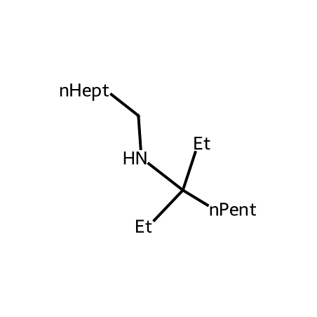 CCCCCCCCNC(CC)(CC)CCCCC